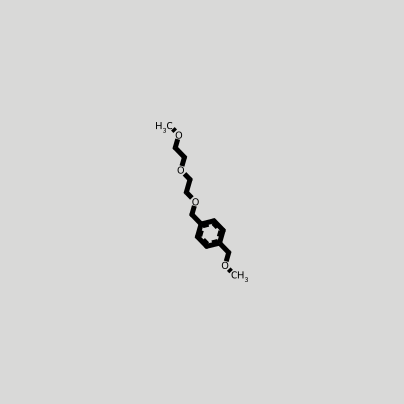 COCCOCCOCc1ccc(COC)cc1